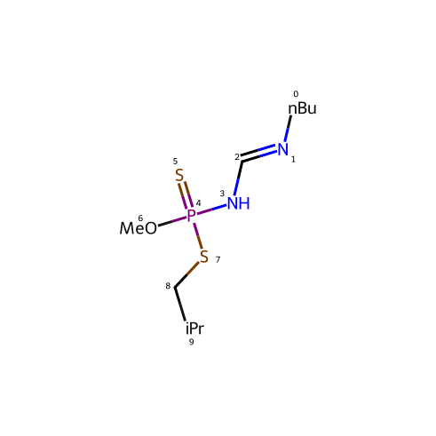 CCCC/N=C/NP(=S)(OC)SCC(C)C